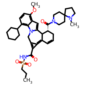 CCCS(=O)(=O)NC(=O)C1=C2Cn3c(cc4c(OC)ccc(C5CCCCC5)c43)C3C(=C21)C=CC[C@H]3C(=O)N1CCC2(CCCN2C)CC1